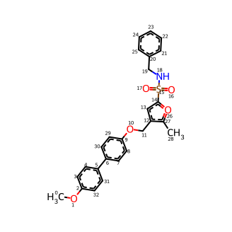 COc1ccc(-c2ccc(OCc3cc(S(=O)(=O)NCc4ccccc4)oc3C)cc2)cc1